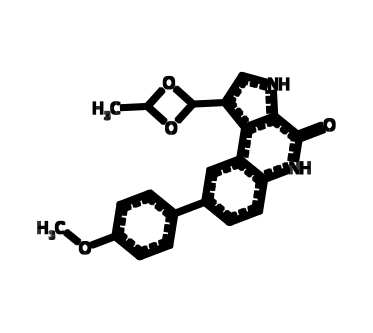 COc1ccc(-c2ccc3[nH]c(=O)c4[nH]cc(C5OC(C)O5)c4c3c2)cc1